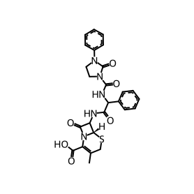 CC1=C(C(=O)O)N2C(=O)C(NC(=O)C(NC(=O)N3CCN(c4ccccc4)C3=O)c3ccccc3)[C@@H]2SC1